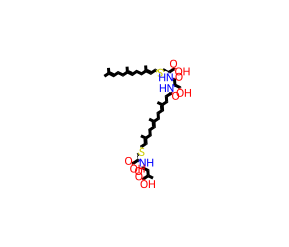 CC(C)=CCC/C(C)=C/CC/C(C)=C/CSC[C@H](NC(=O)C(CO)NC(=O)CC/C(C)=C/CC/C(C)=C/CC/C(C)=C/CSC[C@H](NC(=O)CC(C)C(=O)O)C(=O)O)C(=O)O